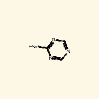 [SeH]c1ncncn1